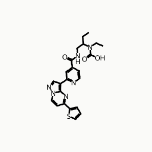 CCC(CNC(=O)c1ccnc(-c2cnn3ccc(-c4cccs4)nc23)c1)N(CC)C(=O)O